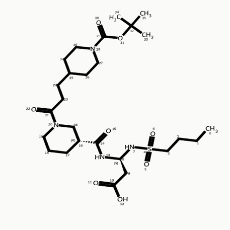 CCCCS(=O)(=O)N[C@@H](CC(=O)O)NC(=O)[C@@H]1CCCN(C(=O)CCC2CCN(C(=O)OC(C)(C)C)CC2)C1